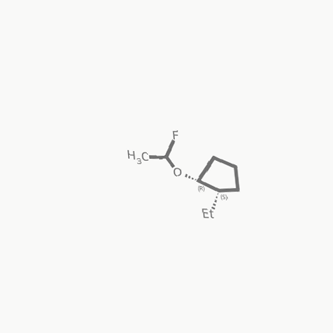 CC[C@H]1CCC[C@H]1OC(C)F